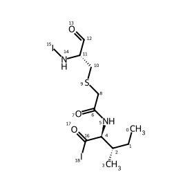 CC[C@H](C)[C@H](NC(=O)CSC[C@@H](C=O)NI)C(=O)I